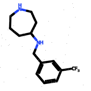 FC(F)(F)c1cccc(CNC2CCCNCC2)c1